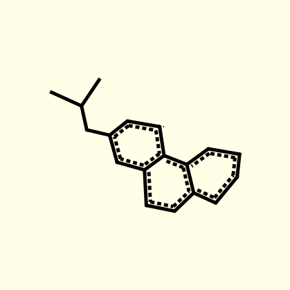 CC(C)Cc1c[c]c2c(ccc3ccccc32)c1